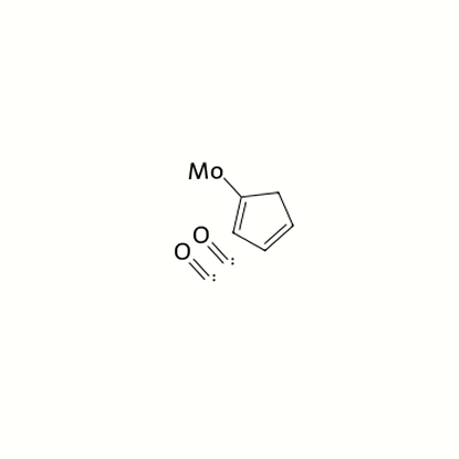 [C]=O.[C]=O.[Mo][C]1=CC=CC1